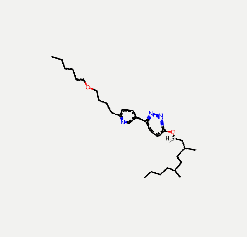 CCCCCCOCCCCc1ccc(-c2ccc(O[SiH2]CC(C)CCC(C)CCCC)nn2)cn1